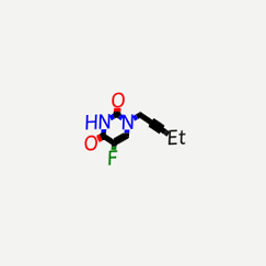 CCC#CCn1cc(F)c(=O)[nH]c1=O